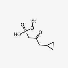 CCOP(=O)(O)CC(=O)CC1CC1